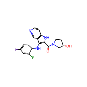 O=C(c1[nH]c2ccncc2c1NC1CC=C(I)C=C1F)N1CC[C@@H](O)C1